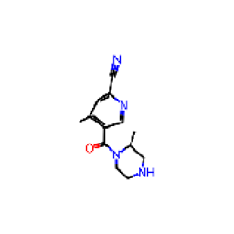 Cc1cc(C#N)ncc1C(=O)N1CCNC[C@@H]1C